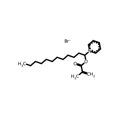 C=C(C)C(=O)OC(CCCCCCCCCCC)[n+]1ccccc1.[Br-]